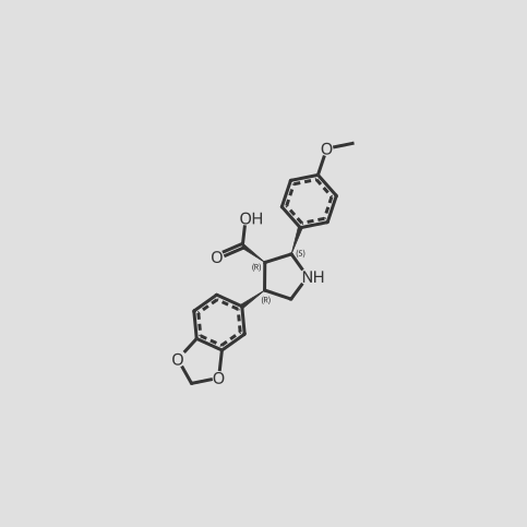 COc1ccc([C@H]2NC[C@@H](c3ccc4c(c3)OCO4)[C@H]2C(=O)O)cc1